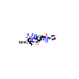 COc1c(C)cnc(CN2C(=O)/C(=C/c3ccc(C(=O)NCCN4CCOCC4)[nH]3)c3c(Cl)nc(N)nc32)c1C